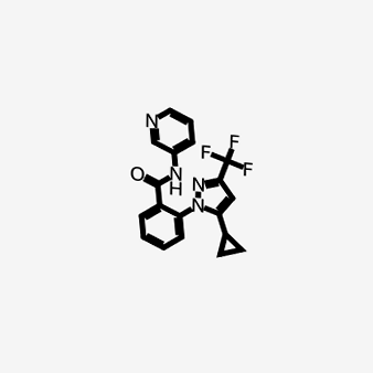 O=C(Nc1cccnc1)c1ccccc1-n1nc(C(F)(F)F)cc1C1CC1